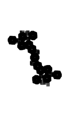 Cc1ccccc1N(c1ccc2cc3c(cc2c1)oc1cc2c(cc13)oc1cc3cc(N(c4ccccc4C)c4cccc5c4c4ccccc4n5-c4ccccc4)ccc3cc12)c1cccc2c1c1ccccc1n2-c1ccccc1